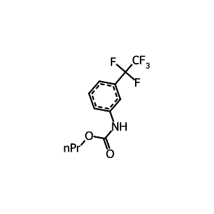 [CH2]CCOC(=O)Nc1cccc(C(F)(F)C(F)(F)F)c1